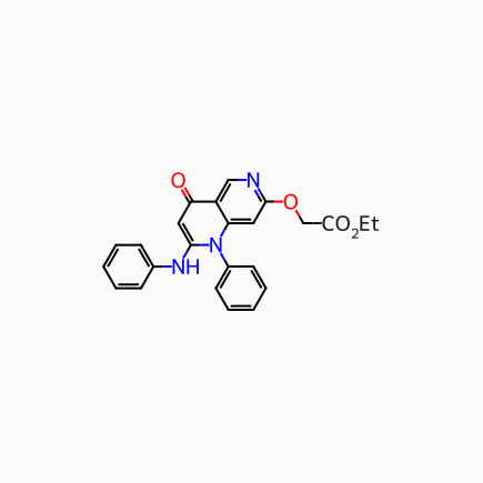 CCOC(=O)COc1cc2c(cn1)c(=O)cc(Nc1ccccc1)n2-c1ccccc1